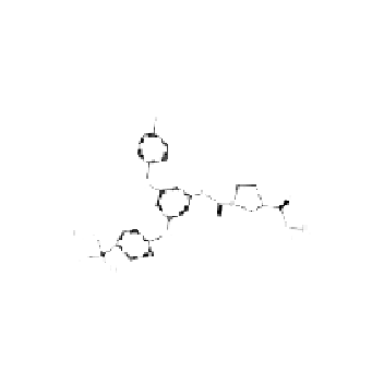 CC(C)NC(=O)C1CCN(C(=O)Nc2cc(Oc3ccc(F)cc3)cc(Oc3ccc(C(C)(C)C(=O)O)cc3)c2)C1